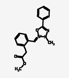 COC(=O)Cc1ccccc1C=[N+]1OC(c2ccccc2)=NN1C